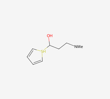 CNCCC(O)[SH]1C=CC=C1